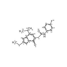 CCn1cc2c(=O)n(CC(=O)Nc3ncc(F)cn3)nc(C(C)C)c2n1